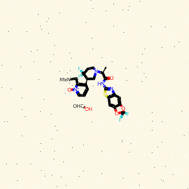 CNCc1c([C@@H]2CN([C@@H](C)C(=O)Nc3nc4cc5c(cc4s3)OC(F)(F)O5)CCC2(F)F)ccc[n+]1[O-].O=CO